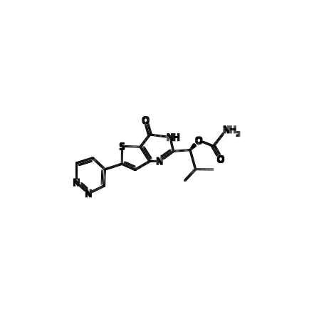 CC(C)[C@H](OC(N)=O)c1nc2cc(-c3ccnnc3)sc2c(=O)[nH]1